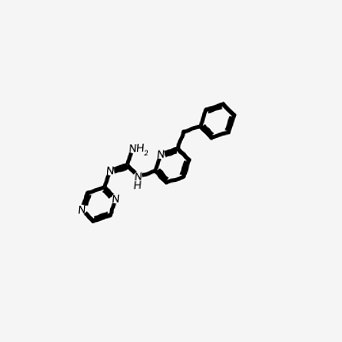 NC(=Nc1cnccn1)Nc1cccc(Cc2ccccc2)n1